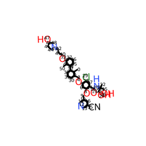 Cc1c(COc2cc(OCc3cncc(C#N)c3)c(C(=O)NC(C)(CO)CO)cc2Cl)cccc1-c1cccc(OCCCN2CCC(O)C2)c1C